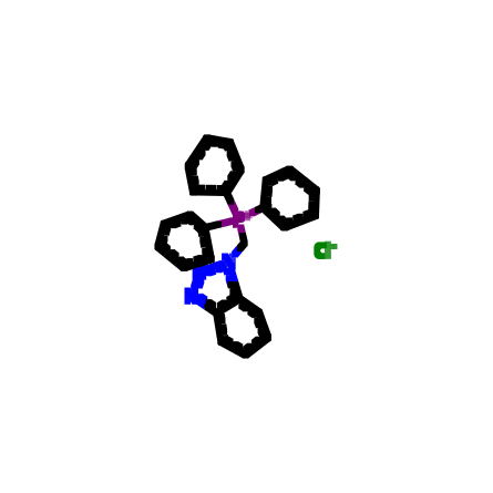 [Cl-].c1ccc([P+](Cn2nnc3ccccc32)(c2ccccc2)c2ccccc2)cc1